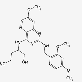 CCCC(CO)Nc1nc(NCc2ccc(OC)cc2OC)nc2cc(OC)cnc12